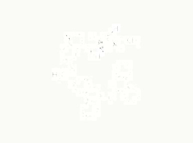 CC[C@H]1C[N@]2CC[C@H]1C[C@@H]2[C@@H](O)c1ccnc2ccc(OC)cc12.c1ccc2c(c1)cc(Oc1cc3ccccc3c3ccccc13)c1ccccc12